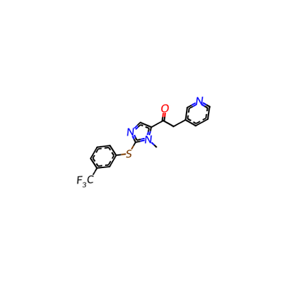 Cn1c(C(=O)Cc2cccnc2)cnc1Sc1cccc(C(F)(F)F)c1